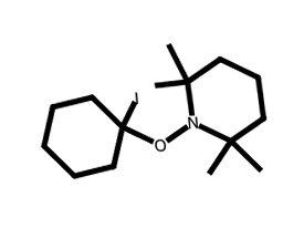 CC1(C)CCCC(C)(C)N1OC1(I)CCCCC1